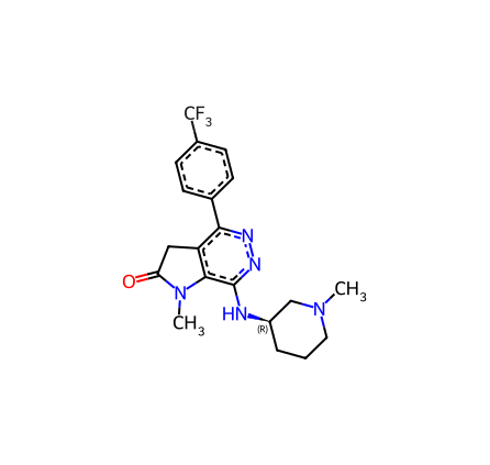 CN1CCC[C@@H](Nc2nnc(-c3ccc(C(F)(F)F)cc3)c3c2N(C)C(=O)C3)C1